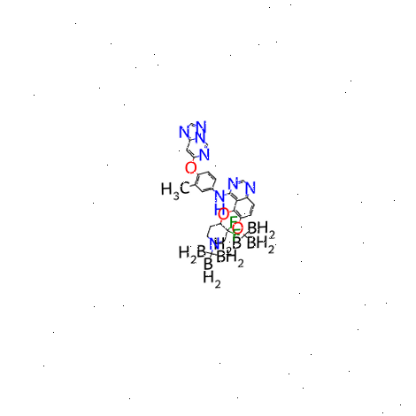 BC(B)(B)Oc1ccc2ncnc(Nc3ccc(Oc4cc5ncnn5cn4)c(C)c3)c2c1O[C@@H]1CCN(C(B)(B)B)CC1(F)F